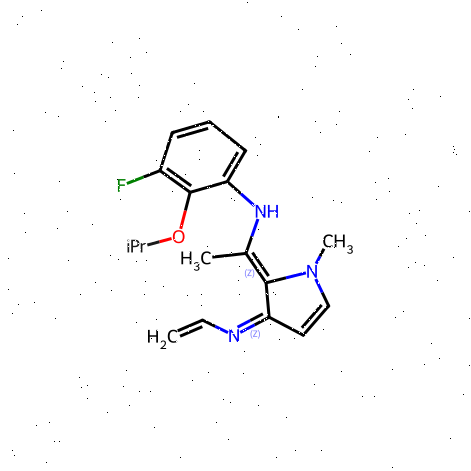 C=C/N=C1/C=CN(C)/C1=C(/C)Nc1cccc(F)c1OC(C)C